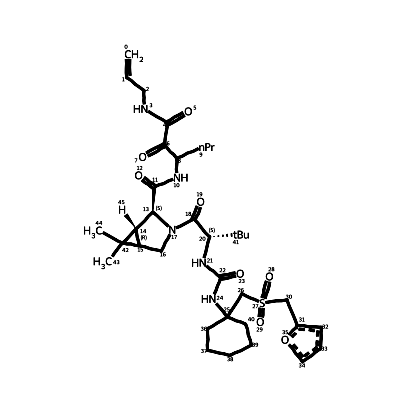 C=CCNC(=O)C(=O)C(CCC)NC(=O)[C@@H]1[C@@H]2C(CN1C(=O)[C@@H](NC(=O)NC1(CS(=O)(=O)Cc3ccco3)CCCCC1)C(C)(C)C)C2(C)C